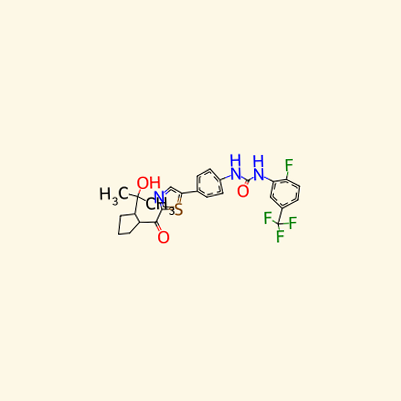 CC(C)(O)C1CCCC1C(=O)c1ncc(-c2ccc(NC(=O)Nc3cc(C(F)(F)F)ccc3F)cc2)s1